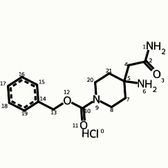 Cl.NC(=O)CC1(N)CCN(C(=O)OCc2ccccc2)CC1